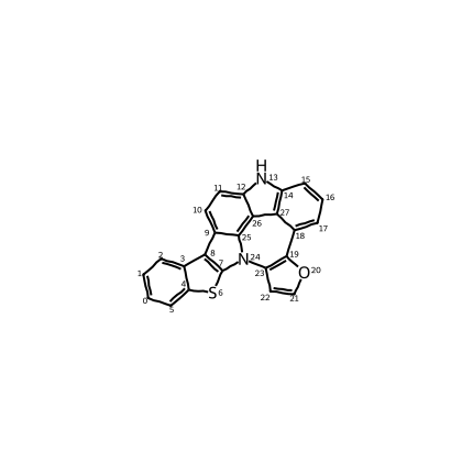 c1ccc2c(c1)sc1c2c2ccc3[nH]c4cccc5c6occc6n1c2c3c45